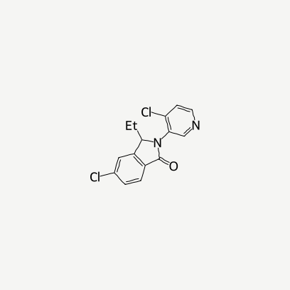 CCC1c2cc(Cl)ccc2C(=O)N1c1cnccc1Cl